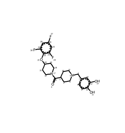 O=C(C1CCN(Cc2ccc(O)c(O)c2)CC1)N1CCC(Oc2c(F)cc(F)cc2F)CC1